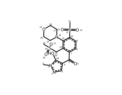 Cn1ncc(C(=O)c2ccc(S(C)(=O)=O)c(N3CCOCC3)c2CS(C)(=O)=O)c1O